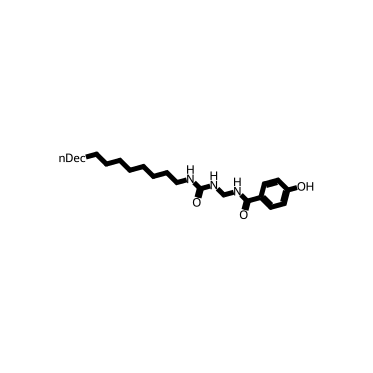 CCCCCCCCCCCCCCCCCCNC(=O)NCNC(=O)c1ccc(O)cc1